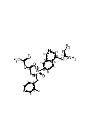 Cc1ccccc1CN(CC(=O)OC(=O)C(F)(F)F)S(=O)(=O)c1ccc2c(NC(N)=NCl)cncc2c1